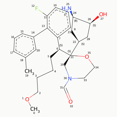 COCCCC[C@@H](c1cccc(F)c1-c1cccc(C)c1)[C@@]1([C@H]2C[C@@H](N)[C@@H](O)C2)CN(C=O)CCO1